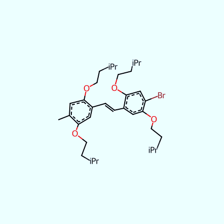 Cc1cc(OCCC(C)C)c(C=Cc2cc(OCCC(C)C)c(Br)cc2OCCC(C)C)cc1OCCC(C)C